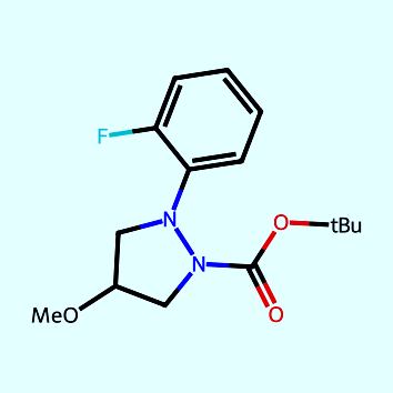 COC1CN(C(=O)OC(C)(C)C)N(c2ccccc2F)C1